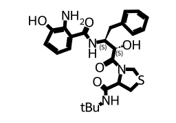 CC(C)(C)NC(=O)C1CSCN1C(=O)[C@@H](O)[C@H](Cc1ccccc1)NC(=O)c1cccc(O)c1N